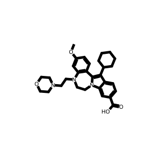 COc1ccc2c(c1)N(CCN1CCOCC1)CCn1c-2c(C2CCCCC2)c2ccc(C(=O)O)cc21